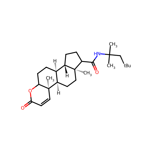 CC(C)(C)CC(C)(C)NC(=O)C1CC[C@H]2[C@@H]3CCC4OC(=O)C=C[C@]4(C)[C@@H]3CC[C@]12C